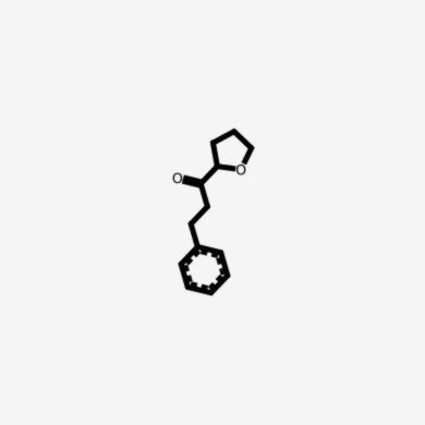 O=C(CCc1ccccc1)C1CCCO1